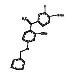 C=C(c1ccc(CCCCCC)c(F)c1)c1ccc(OCc2ccccc2)cc1OC